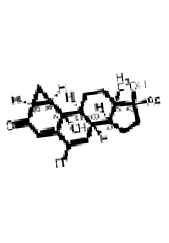 CC(=O)[C@@]1(O)CC[C@H]2[C@@H]3C=C(Cl)C4=CC(=O)[C@H]5C[C@H]5[C@]4(C)[C@H]3CC[C@@]21C